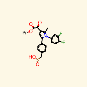 Cc1c(C(=O)C(=O)OC(C)C)cc(-c2ccc(CS(=O)O)cc2)n1-c1ccc(F)c(F)c1